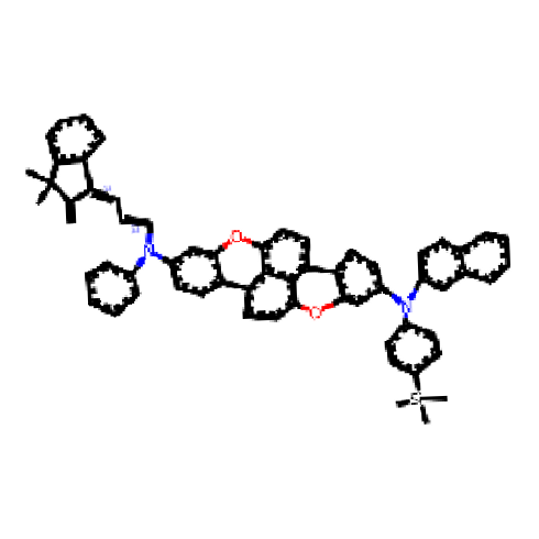 C=C1/C(=C\C=C\N(c2ccccc2)c2ccc3c(c2)Oc2ccc4c5c(ccc-3c25)Oc2cc(N(c3ccc([Si](C)(C)C)cc3)c3ccc5ccccc5c3)ccc2-4)c2ccccc2C1(C)C